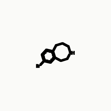 Brc1ccc2c(c1)CCNCCC2